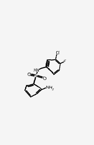 Nc1ccccc1S(=O)(=O)Nc1ccc(F)c(Cl)c1